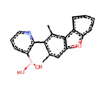 Cc1cc2oc3ccccc3c2c(C)c1-c1ncccc1B(O)O